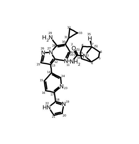 NC(=O)N1C2CC[C@H]1C[C@@H](c1nc3c(-c4ccc(-c5ncc[nH]5)nc4)cnn3c(N)c1C1CC1)C2